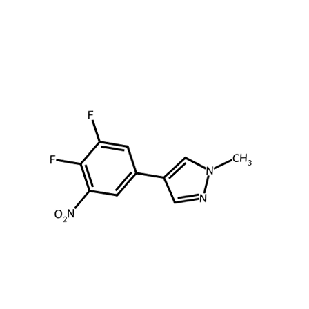 Cn1cc(-c2cc(F)c(F)c([N+](=O)[O-])c2)cn1